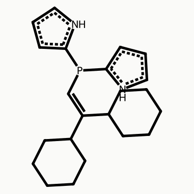 C(=C(C1CCCCC1)C1CCCCC1)P(c1ccc[nH]1)c1ccc[nH]1